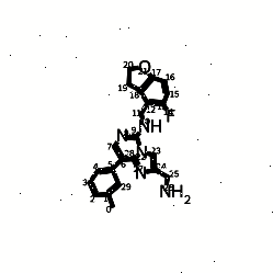 Cc1cccc(-c2cnc(NCc3c(F)ccc4c3CCO4)n3cc(CN)nc23)c1